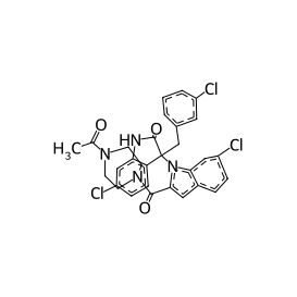 CC(=O)N1CCN(C(=O)c2cc3ccc(Cl)cc3n2C2(Cc3cccc(Cl)c3)C(=O)Nc3cc(Cl)ccc32)CC1